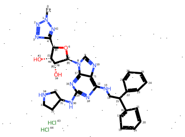 CCn1nnc([C@H]2O[C@@H](n3cnc4c(NCC(c5ccccc5)c5ccccc5)nc(NC5CCNC5)nc43)[C@H](O)[C@@H]2O)n1.Cl.Cl